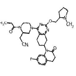 C=CC(=O)N1CCN(c2nc(OCC3CCCN3C)nc3c2CCC(N2C(=O)CCc4ccc(F)cc42)C3)CC1CC#N